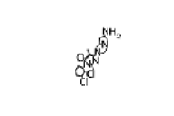 Cc1c(N2CCN3CC(N)CC3C2)nc(C)n(-c2cccc(Cl)c2Cl)c1=O